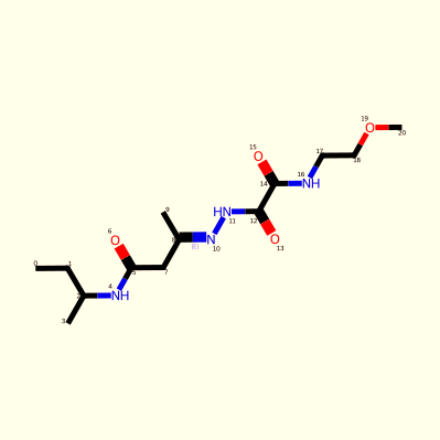 CCC(C)NC(=O)C/C(C)=N/NC(=O)C(=O)NCCOC